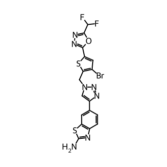 Nc1nc2ccc(-c3cn(Cc4sc(-c5nnc(C(F)F)o5)cc4Br)nn3)cc2s1